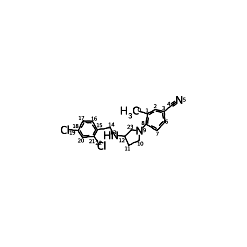 Cc1cc(C#N)ccc1N1CCC(NCc2ccc(Cl)cc2Cl)C1